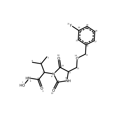 CC(C)C(C(=O)NO)N1C(=O)NC(COCc2cccc(F)c2)C1=O